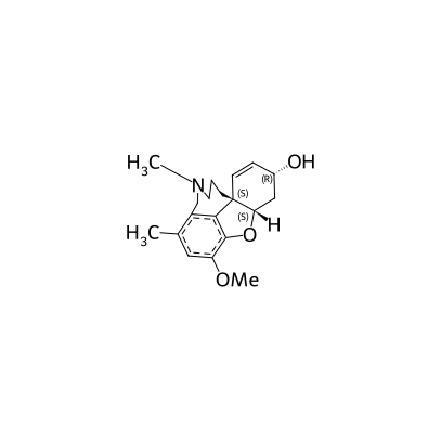 COc1cc(C)c2c3c1O[C@H]1C[C@@H](O)C=C[C@@]31CCCN(C)C2